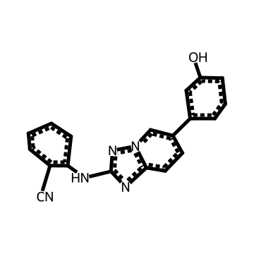 N#Cc1ccccc1Nc1nc2ccc(-c3cccc(O)c3)cn2n1